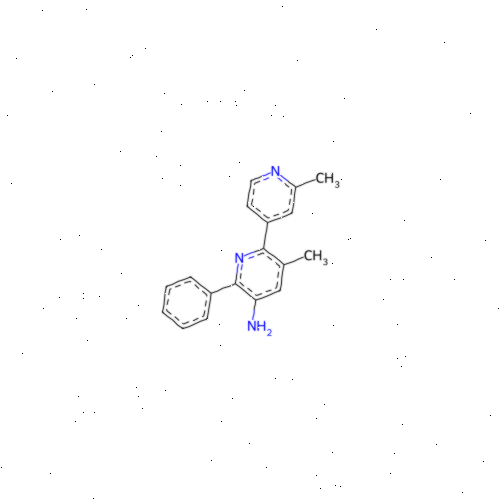 Cc1cc(-c2nc(-c3ccccc3)c(N)cc2C)ccn1